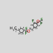 CCc1ccc(C(F)(F)OCCc2ccc(OC(F)F)c(F)c2)cc1